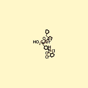 O=C(N[C@@H](Cc1ccc(NC(=O)c2c(Cl)cccc2Cl)cc1)C(=O)O)c1ccccc1Cc1ccccc1